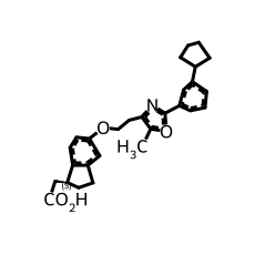 Cc1oc(-c2cccc(C3CCCC3)c2)nc1CCOc1ccc2c(c1)CC[C@H]2CC(=O)O